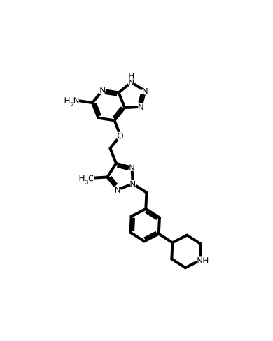 Cc1nn(Cc2cccc(C3CCNCC3)c2)nc1COc1cc(N)nc2[nH]nnc12